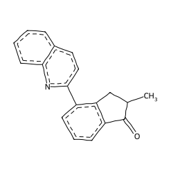 CC1Cc2c(cccc2-c2ccc3ccccc3n2)C1=O